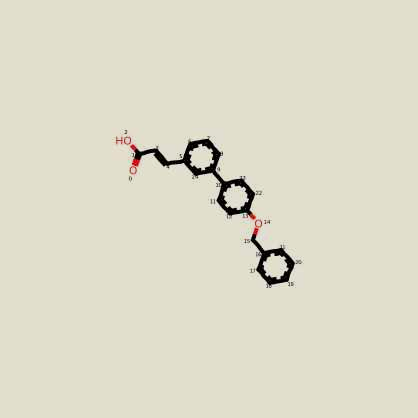 O=C(O)C=Cc1cccc(-c2ccc(OCc3ccccc3)cc2)c1